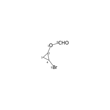 O=COC1CC1Br